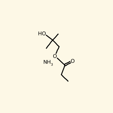 CCC(=O)OCC(C)(C)O.N